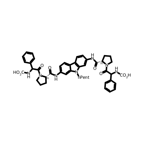 CCCCCn1c2cc(NC(=O)[C@@H]3CCCN3C(=O)C(NC(=O)O)c3ccccc3)ccc2c2ccc(NC(=O)[C@@H]3CCCN3C(=O)C(NC(=O)O)c3ccccc3)cc21